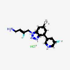 Cl.NC/C=C(\F)Cn1nnc2c(-c3cncc(F)c3)cc(C(F)(F)F)cc21